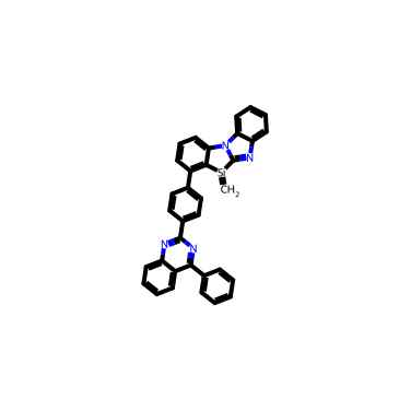 C=[Si]1c2c(-c3ccc(-c4nc(-c5ccccc5)c5ccccc5n4)cc3)cccc2-n2c1nc1ccccc12